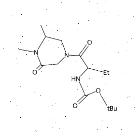 CCC(NC(=O)OC(C)(C)C)C(=O)N1CC(=O)N(C)C(C)C1